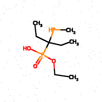 CCOP(=O)(O)C(CC)(CC)PC